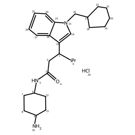 CC(C)C(CC(=O)NC1CCC(N)CC1)c1cn(CC2CCCCC2)c2ccccc12.Cl